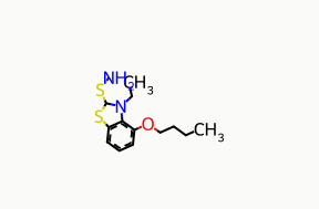 CCCCOc1cccc2c1N(CC)C(SN)S2